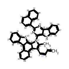 C=C/C=C\c1c(C)n(-c2nc(-c3cccc4ccccc34)nc3c2sc2ccccc23)c2c3sc4ccccc4c3c3ccccc3c12